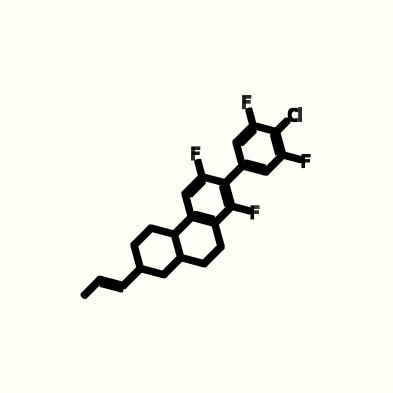 CC=CC1CCC2c3cc(F)c(-c4cc(F)c(Cl)c(F)c4)c(F)c3CCC2C1